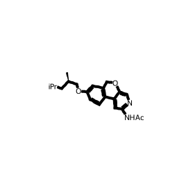 CC(=O)Nc1cc2c(cn1)OCc1cc(OC[C@H](C)CC(C)C)ccc1-2